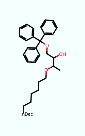 CCCCCCCCCCCCCCCCOC(C)C(O)COC(c1ccccc1)(c1ccccc1)c1ccccc1